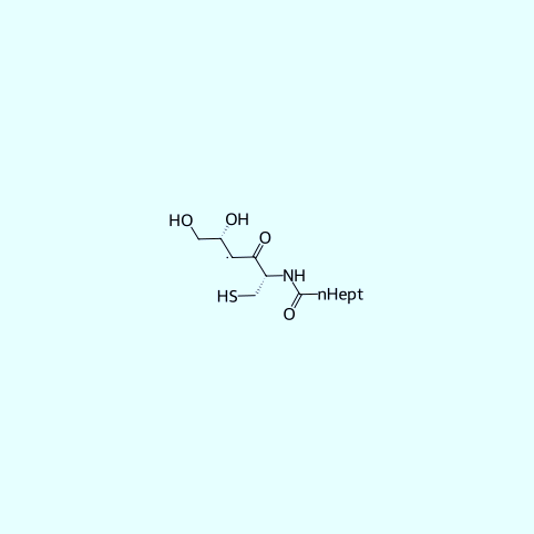 CCCCCCCC(=O)N[C@H](CS)C(=O)[CH][C@@H](O)CO